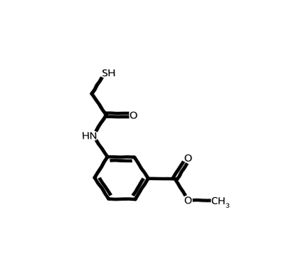 COC(=O)c1cccc(NC(=O)CS)c1